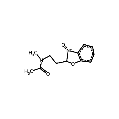 CC(=O)N(C)CCC1Oc2ccccc2[N+]1=O